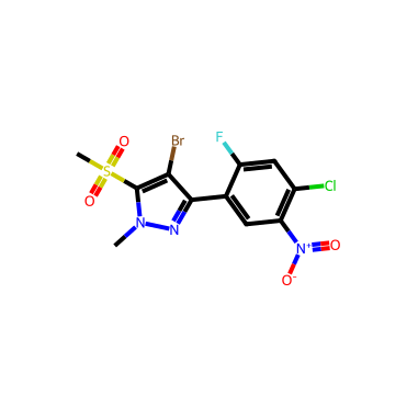 Cn1nc(-c2cc([N+](=O)[O-])c(Cl)cc2F)c(Br)c1S(C)(=O)=O